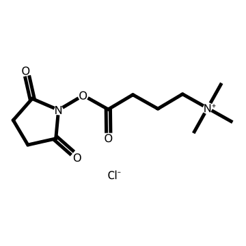 C[N+](C)(C)CCCC(=O)ON1C(=O)CCC1=O.[Cl-]